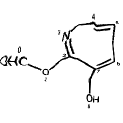 O=COc1ncccc1O